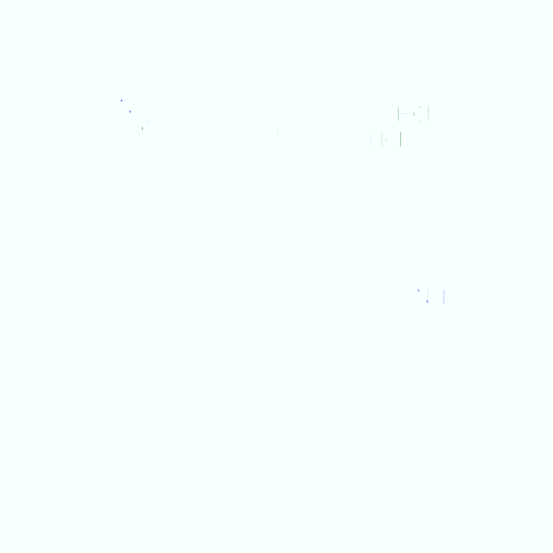 Cl.Cl.c1ccc(Nc2ccc(SC3CN4CCC3CC4)cc2)cc1